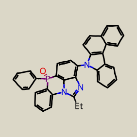 CCc1nc2c(-n3c4ccccc4c4c5ccccc5ccc43)ccc3c2n1-c1ccccc1P3(=O)c1ccccc1